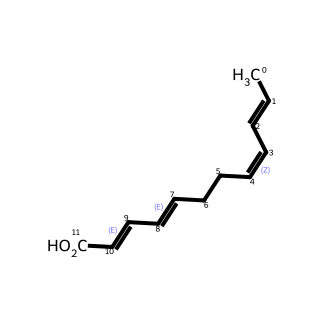 CC=C/C=C\CC/C=C/C=C/C(=O)O